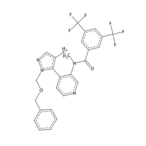 Cc1cnn(COCc2ccccc2)c1-c1ccncc1N(C)C(=O)c1cc(C(F)(F)F)cc(C(F)(F)F)c1